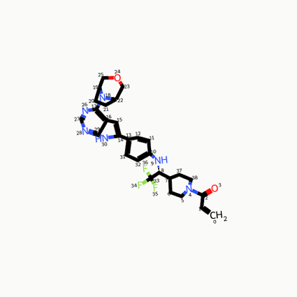 C=CC(=O)N1CCC([C@@H](Nc2ccc(-c3cc4c(N5C6CCC5COC6)ncnc4[nH]3)cc2)C(F)(F)F)CC1